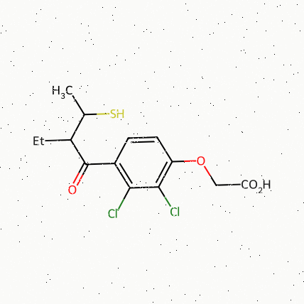 CCC(C(=O)c1ccc(OCC(=O)O)c(Cl)c1Cl)C(C)S